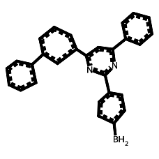 Bc1ccc(-c2nc(-c3ccccc3)cc(-c3cccc(-c4ccccc4)c3)n2)cc1